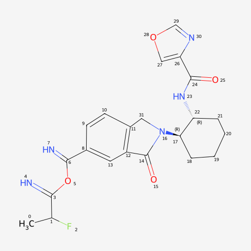 CC(F)C(=N)OC(=N)c1ccc2c(c1)C(=O)N([C@@H]1CCCC[C@H]1NC(=O)c1cocn1)C2